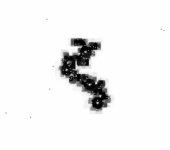 C[C@H](Cc1cccc(CC(=O)NCc2ccc(C(=O)NC[C@@H](C)c3ccccc3)cc2)c1)NC[C@@H](O)c1ccc(O)c(CO)c1